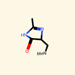 CNCC1N=C(C)NC1=O